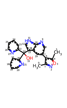 Cc1noc(C)c1-c1cnc2[nH]cc(C(O)(c3ccccn3)c3ccccn3)c2c1